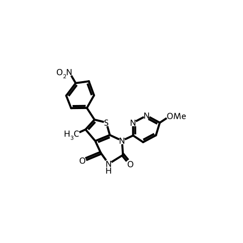 COc1ccc(-n2c(=O)[nH]c(=O)c3c(C)c(-c4ccc([N+](=O)[O-])cc4)sc32)nn1